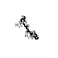 CCC(C)(CCC(=O)CCC(=O)CCC(C)N1C(=S)C=C2SCCC2C1=S)N1C(=S)C=C2SCCC2C1=S